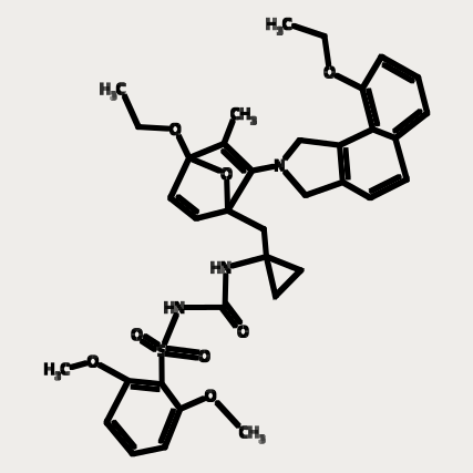 CCOc1cccc2ccc3c(c12)CN(C1=C(C)C2(OCC)C=CC1(CC1(NC(=O)NS(=O)(=O)c4c(OC)cccc4OC)CC1)O2)C3